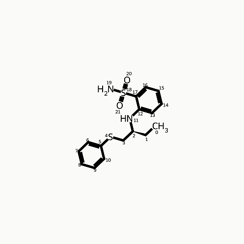 CC[C@@H](CSc1ccccc1)Nc1ccccc1S(N)(=O)=O